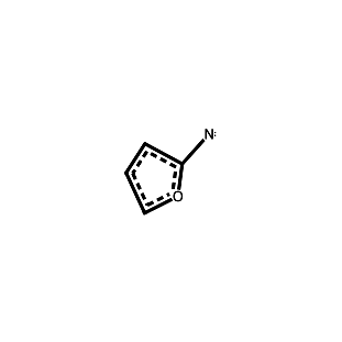 [N]c1ccco1